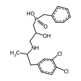 CC(Cc1ccc(Cl)c(Cl)c1)NCC(O)CP(=O)(O)Cc1ccccc1